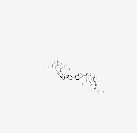 CCCN(Cc1ncc(-c2ccc(-c3ccc4cc(-c5cnc([C@@H]6[C@H]7CC[C@H](C7)N6C(=O)[C@@H](NC(=O)OC)C(C)C)[nH]5)ccc4c3)cc2)[nH]1)C(=O)[C@@H](NC(=O)OC)C(C)C